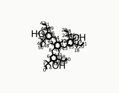 C=CC(C)(C)c1cc(Cc2c(C)c(Cc3cc(C(C)(C)C=C)c(O)c(C(C)(C)C=C)c3)c(C)c(Cc3cc(C(C)(C)C=C)c(O)c(C(C)(C)C=C)c3)c2C)cc(C(C)(C)C=C)c1O